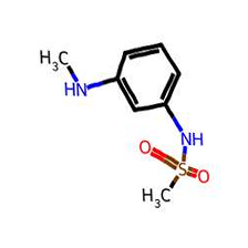 CNc1cccc(NS(C)(=O)=O)c1